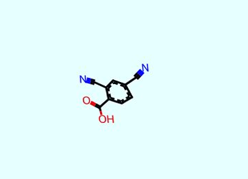 N#Cc1ccc(C(=O)O)c(C#N)c1